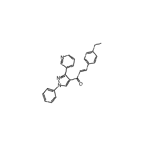 CCc1ccc(C=CC(=O)c2cn(-c3ccccc3)nc2-c2cccnc2)cc1